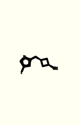 O[C@H]1C[C@@H](Cn2cc(I)cn2)C1